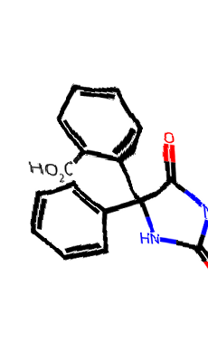 O=C1NC(=O)C(c2ccccc2)(c2ccccc2C(=O)O)N1